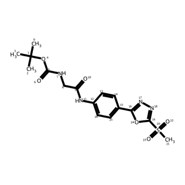 CC(C)(C)OC(=O)NCC(=O)Nc1ccc(-c2nnc(S(C)(=O)=O)o2)cc1